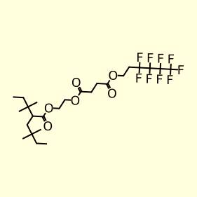 CCC(C)(C)CC(C(=O)OCCOC(=O)CCC(=O)OCCC(F)(F)C(F)(F)C(F)(F)C(F)(F)F)C(C)(C)CC